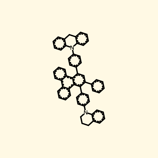 c1ccc(-c2cc(-c3ccc(N4c5ccccc5Cc5ccccc54)cc3)c3c4ccccc4c4ccccc4c3c2-c2ccc(N3CCCc4ccccc43)cc2)cc1